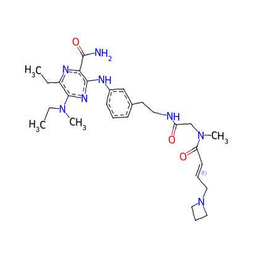 CCc1nc(C(N)=O)c(Nc2cccc(CCNC(=O)CN(C)C(=O)/C=C/CN3CCC3)c2)nc1N(C)CC